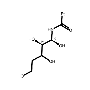 CCC(=O)N[C@@H](O)[C@H](O)C(O)CCO